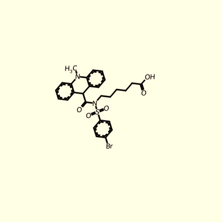 CN1c2ccccc2C(C(=O)N(CCCCCC(=O)O)S(=O)(=O)c2ccc(Br)cc2)c2ccccc21